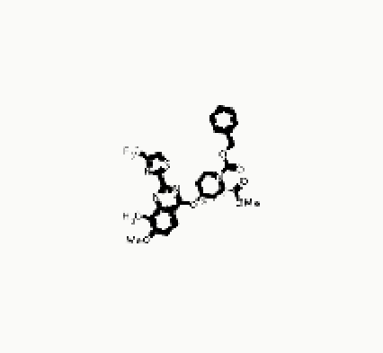 COC(=O)[C@@H]1C[C@@H](Oc2nc(-c3nc(C(F)(F)F)cs3)nc3c(C)c(OC)ccc23)CCN1C(=O)OCc1ccccc1